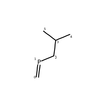 C=P[CH]C(C)C